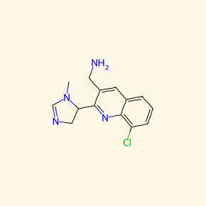 CN1C=NCC1c1nc2c(Cl)cccc2cc1CN